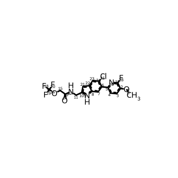 COc1ccc(-c2cc3[nH]c(CNC(=O)COC(F)(F)F)cc3cc2Cl)nc1F